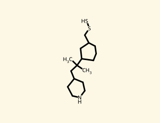 CC(C)(CC1CCNCC1)C1CCCC(CSS)C1